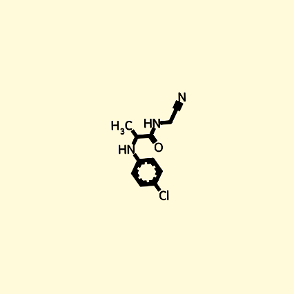 CC(Nc1ccc(Cl)cc1)C(=O)NCC#N